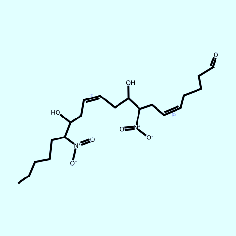 CCCCCC(C(O)C/C=C\CC(O)C(C/C=C\CCC[C]=O)[N+](=O)[O-])[N+](=O)[O-]